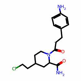 NC(=O)C1CC(CCCl)CCN1C(=O)[CH]Cc1ccc(N)cc1